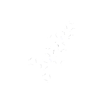 c1ccc(-c2cc(-c3ccccc3)cc(-n3c4ccccc4c4c(-c5cccc6c5c5ccccc5n6-c5ccc6ccccc6c5)cccc43)c2)cc1